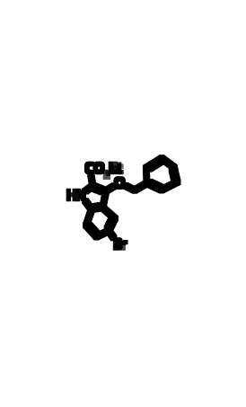 CCOC(=O)c1[nH]c2ccc(Br)cc2c1OCc1ccccc1